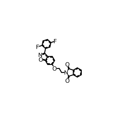 O=C1c2ccccc2C(=O)N1CCOc1ccc2c(-c3cc(F)ccc3F)noc2c1